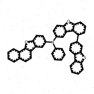 c1ccc(N(c2ccc3oc4c5ccccc5ccc4c3c2)c2ccc3oc4cccc(-c5ccc6c(c5)sc5ccccc56)c4c3c2)cc1